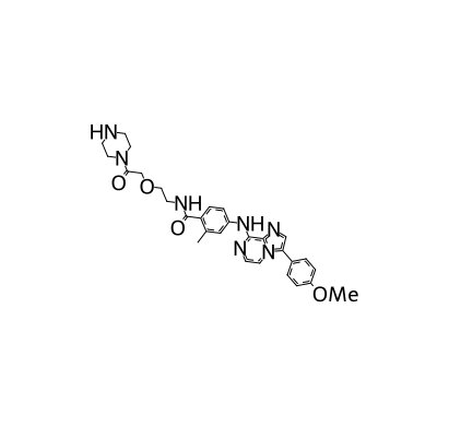 COc1ccc(-c2cnc3c(Nc4ccc(C(=O)NCCOCC(=O)N5CCNCC5)c(C)c4)nccn23)cc1